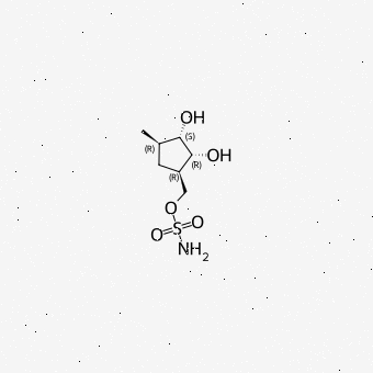 C[C@@H]1C[C@H](COS(N)(=O)=O)[C@@H](O)[C@H]1O